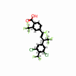 O=C(O)c1ccc(C(F)=CC(c2cc(Cl)c(C(F)F)c(Cl)c2)C(F)(F)F)cc1C(F)(F)F